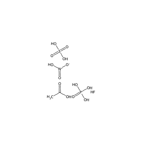 CC(=O)O.F.O=P(O)(O)O.O=S(=O)(O)O.O=[N+]([O-])O